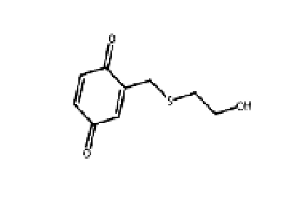 O=C1C=CC(=O)C(CSCCO)=C1